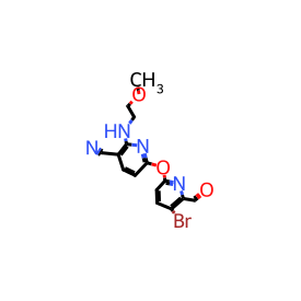 COCCNc1nc(Oc2ccc(Br)c(C=O)n2)ccc1C#N